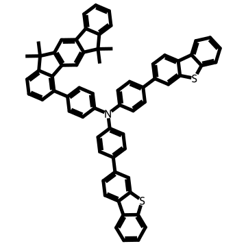 CC1(C)c2ccccc2-c2cc3c(cc21)-c1c(-c2ccc(N(c4ccc(-c5ccc6c(c5)sc5ccccc56)cc4)c4ccc(-c5ccc6c(c5)sc5ccccc56)cc4)cc2)cccc1C3(C)C